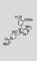 COc1cc(-c2nn(CC3(O)CCN(C(=O)OC(C)(C)C)CC3)c3ncnc(N)c23)ccc1N